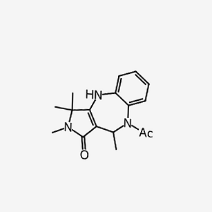 CC(=O)N1c2ccccc2NC2=C(C(=O)N(C)C2(C)C)C1C